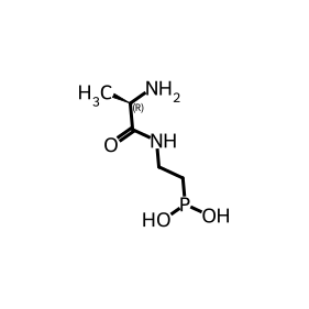 C[C@@H](N)C(=O)NCCP(O)O